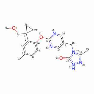 COCC1(c2cc(C)ccc2Oc2ncc(Cn3c(C)n[nH]c3=O)cn2)CC1